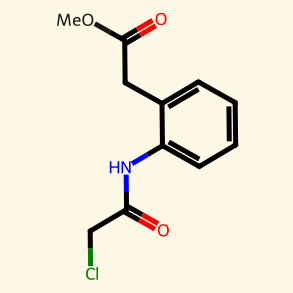 COC(=O)Cc1ccccc1NC(=O)CCl